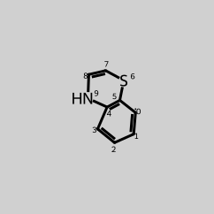 [c]1cccc2c1SC=CN2